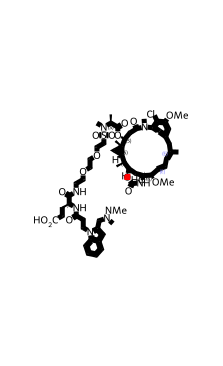 CNN(C)Cc1cc2ccccc2n1CCC(=O)N[C@@H](CCC(=O)O)C(=O)NCCOCCOCCS(=O)(=O)N(C)[C@@H](C)C(=O)O[C@H]1CC(=O)N(C)c2cc(cc(OC)c2Cl)C/C(C)=C/C=C/[C@@H](OC)[C@@]2(O)C[C@H](OC(=O)N2)[C@@H](C)[C@@H]2C[C@]12C